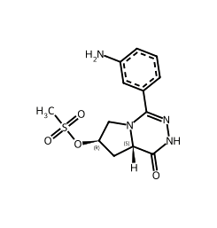 CS(=O)(=O)O[C@@H]1C[C@H]2C(=O)NN=C(c3cccc(N)c3)N2C1